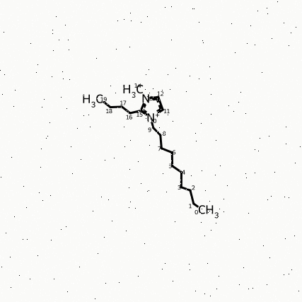 CCCCCCCCCC[n+]1ccn(C)c1CCCC